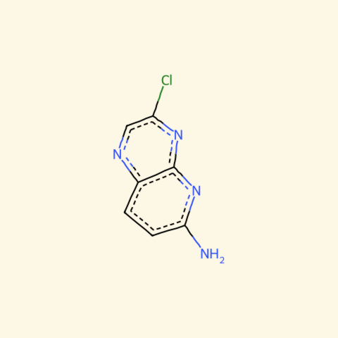 Nc1ccc2ncc(Cl)nc2n1